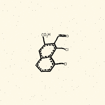 O=Ic1c(C(=O)O)cc2cccc(Cl)c2c1Cl